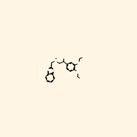 CN(Cc1nc2ccccc2[nH]1)CC(O)c1ccc(OCC(=O)O)c(OCC(=O)O)c1